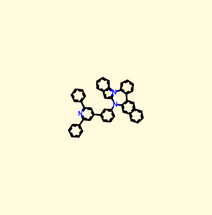 c1ccc(-c2cc(-c3cccc(N4c5cc6ccccc6cc5-c5ccccc5-n5c4cc4ccccc45)c3)cc(-c3ccccc3)n2)cc1